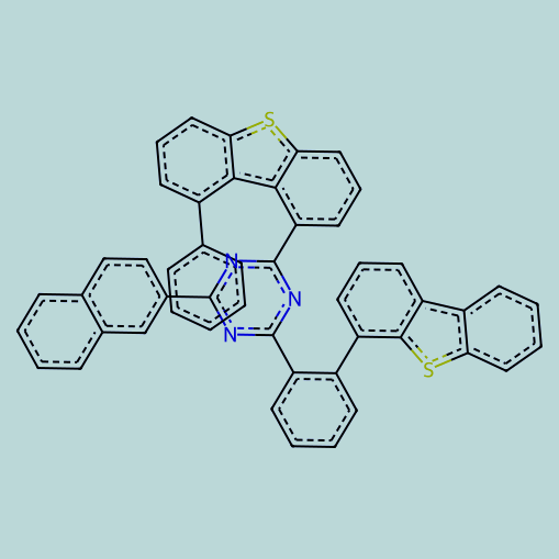 c1ccc(-c2cccc3sc4cccc(-c5nc(-c6ccc7ccccc7c6)nc(-c6ccccc6-c6cccc7c6sc6ccccc67)n5)c4c23)cc1